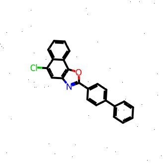 Clc1cc2nc(-c3ccc(-c4ccccc4)cc3)oc2c2ccccc12